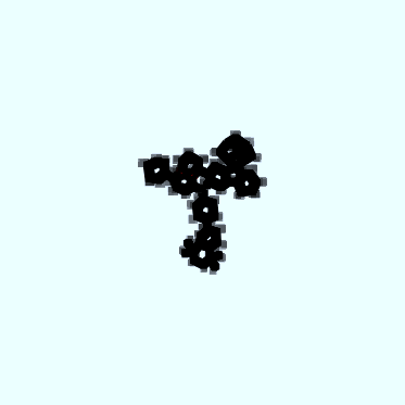 CC1(C)CCC(C)(C)c2cc(-c3ccc(N(c4ccc(-c5ccccc5)cc4)c4cc5c(cc4-c4ccccc4)C4(c6ccccc6-5)C5CC6CC7CC4C75C6)cc3)ccc21